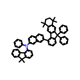 CC1(C)CCC(C)(C)c2cc3c(cc21)-c1c(-c2ccc4ccc(N(c5ccccc5)c5cccc6c5-c5ccccc5C6(C)C)cc4c2)cccc1C3(c1ccccc1)c1ccccc1